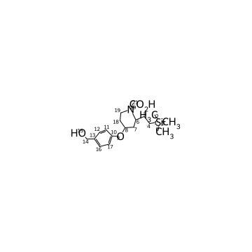 C[Si](C)(C)CCC1CC(Oc2ccc(CO)cc2)CCN1C(=O)O